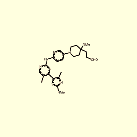 CNc1nc(C)c(-c2nc(Nc3ccc(N4CCC(CCC=O)(NC)CC4)cn3)ncc2F)s1